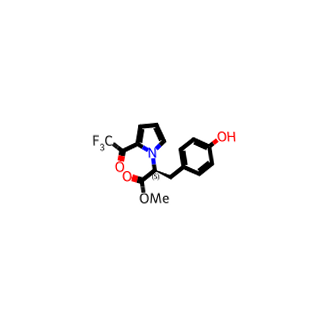 COC(=O)[C@H](Cc1ccc(O)cc1)n1cccc1C(=O)C(F)(F)F